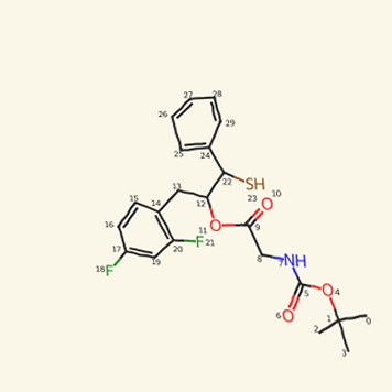 CC(C)(C)OC(=O)NCC(=O)OC(Cc1ccc(F)cc1F)C(S)c1ccccc1